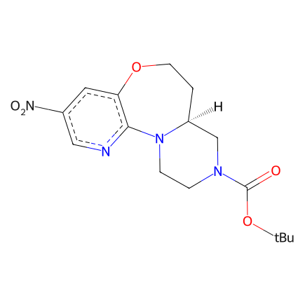 CC(C)(C)OC(=O)N1CCN2c3ncc([N+](=O)[O-])cc3OCC[C@H]2C1